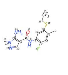 Cc1cc(F)c(NC(=O)c2cnn(C)c2N)cc1SCC(F)(F)F